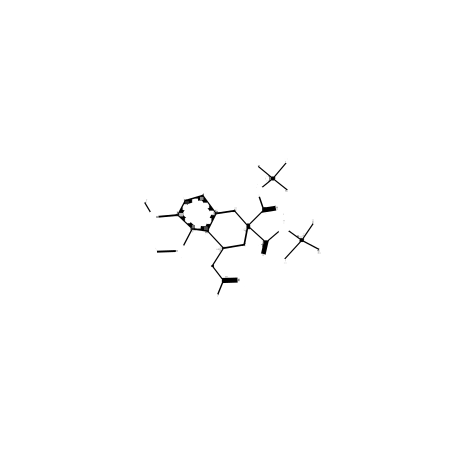 COc1ccc2c(c1OC)C(CC(=O)O)CC(C(=O)OC(C)(C)C)(C(=O)OC(C)(C)C)C2